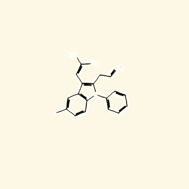 C=CCc1c(C=C(C)C)c2cc(I)ccc2n1-c1ccccc1